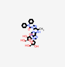 CC(Nc1ncnc2c1N=C[N+]2([C@@H]1C[C@H](O)[C@@H](CO)O1)[C@@H]1O[C@H](CO)[C@@H](O)[C@H]1O)c1cn(C(=O)N(c2ccccc2)c2ccccc2)cn1